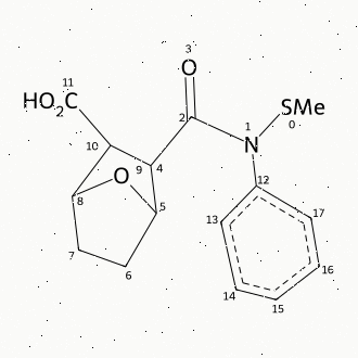 CSN(C(=O)C1C2CCC(O2)C1C(=O)O)c1ccccc1